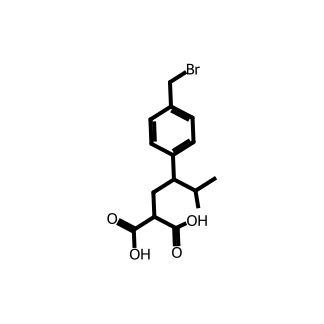 CC(C)C(CC(C(=O)O)C(=O)O)c1ccc(CBr)cc1